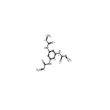 C=CC(=O)Nc1cc(NC(=O)C=C)cc(NC(=O)C=C)c1